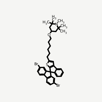 CN1C(C)(C)CC(OCCCCCCc2cc3c(s2)C2(c4cc(Br)ccc4-c4ccc(Br)cc42)c2ccccc2-3)CC1(C)C